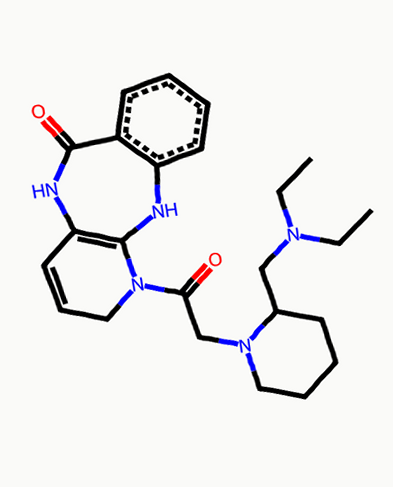 CCN(CC)CC1CCCCN1CC(=O)N1CC=CC2=C1Nc1ccccc1C(=O)N2